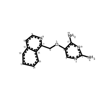 Nc1ncc(OCc2nccc3ccccc23)c(N)n1